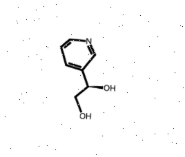 OC[C@H](O)c1cccnc1